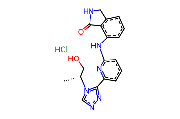 C[C@H](CO)n1cnnc1-c1cccc(Nc2cccc3c2C(=O)NC3)n1.Cl